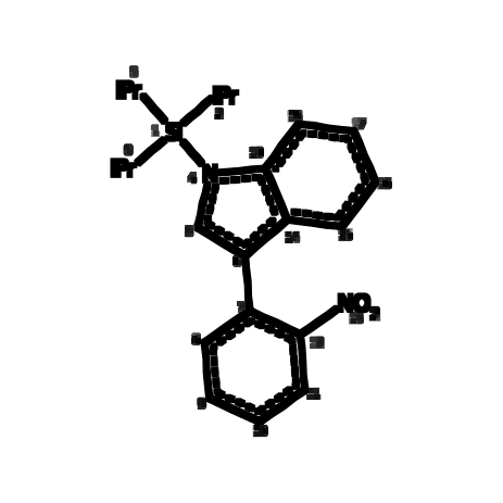 CC(C)[Si](C(C)C)(C(C)C)n1cc(-c2ccccc2[N+](=O)[O-])c2ccccc21